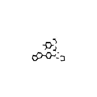 CN(C(=O)CN(CC(N)=O)c1ccc(Cl)c(Cl)c1)[C@@H](CN1CCCC1)c1ccc(-c2ccc3ccccc3c2)cc1